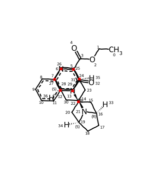 CCOC(=O)c1nc2ccccc2n([C@H]2C[C@H]3CC[C@@H](C2)N3[C@@H]2C[C@@H]3CCC[C@@H](C3)C2)c1=O